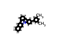 Cc1cc(C)cc(-c2ccc3c(c2)c2cccc4c5cc6ccccc6cc5n3c24)c1